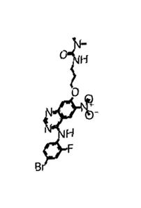 CN(C)C(=O)NCCCOc1cc2ncnc(Nc3ccc(Br)cc3F)c2cc1[N+](=O)[O-]